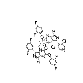 CC(O)Cn1c(=O)c(Oc2ccc(F)cc2F)nc2[nH]nc(-c3cc(F)ccc3F)c21.Fc1ccc(Oc2ncc3c(-c4c(Cl)cncc4Cl)n[nH]c3n2)c(F)c1